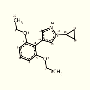 CCOc1c[c]cc(OCC)c1-c1cnn(C2CC2)c1